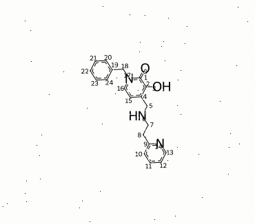 O=c1c(O)c(CNCCc2ccccn2)ccn1Cc1ccccc1